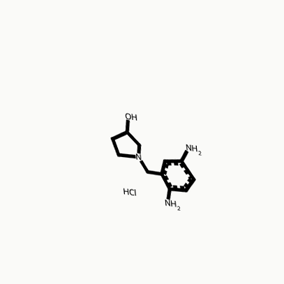 Cl.Nc1ccc(N)c(CN2CCC(O)C2)c1